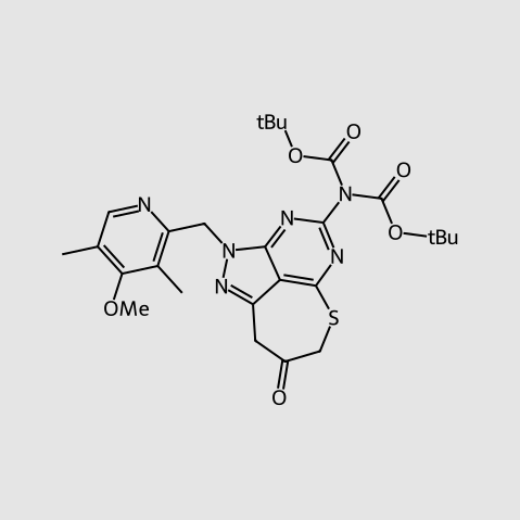 COc1c(C)cnc(Cn2nc3c4c(nc(N(C(=O)OC(C)(C)C)C(=O)OC(C)(C)C)nc42)SCC(=O)C3)c1C